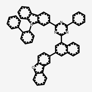 c1ccc(-c2nc(-c3ccc4c5ccccc5n(-c5ccccc5-c5ccccc5)c4c3)nc(-c3cc(-c4ccc5oc6ccccc6c5c4)cc4ccccc34)n2)cc1